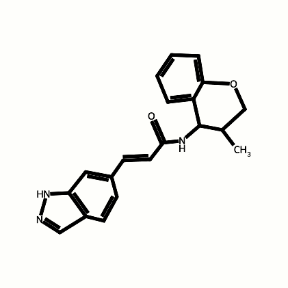 CC1COc2ccccc2C1NC(=O)C=Cc1ccc2cn[nH]c2c1